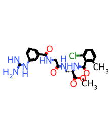 COC(=O)[C@H](CNC(=O)CNC(=O)c1cccc(NC(=N)N)c1)NC(=O)c1c(C)cccc1Cl